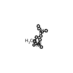 CC1=Cc2nc([n+]3c(-c4ccccc4)nc(-c4ccccc4)nc3c3cccc(c3)c3c(-c4cccc(-c5cc(-c6ccccc6)nc(-c6ccc7ccccc7c6)n5)c4)cccc23)=C=C1